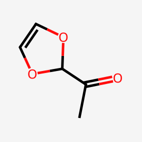 CC(=O)C1OC=CO1